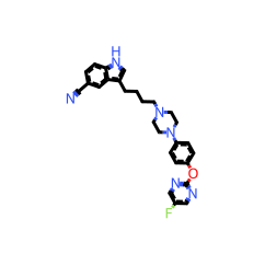 N#Cc1ccc2[nH]cc(CCCCN3CCN(c4ccc(Oc5ncc(F)cn5)cc4)CC3)c2c1